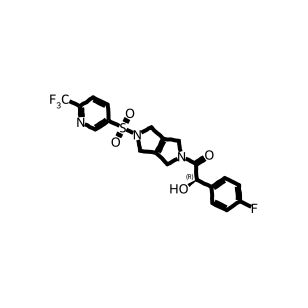 O=C([C@H](O)c1ccc(F)cc1)N1CC2=C(C1)CN(S(=O)(=O)c1ccc(C(F)(F)F)nc1)C2